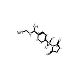 CSCOC(O)C1=CC=C(S(=O)(=O)N2C(=O)CCC2=O)CC1